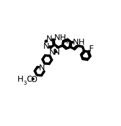 COC1CCN(C2CCC(n3nc(-c4ccc5[nH]c(Cc6ccccc6F)cc5c4)c4c(N)ncnc43)CC2)CC1